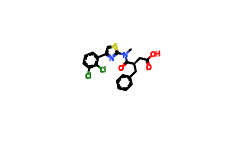 CN(C(=O)[C@@H](CC(=O)O)Cc1ccccc1)c1nc(-c2cccc(Cl)c2Cl)cs1